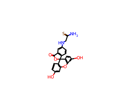 NC(=S)CNc1ccc2c(c1)C(=O)OC21c2ccc(O)cc2Oc2cc(O)ccc21